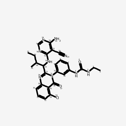 CCNC(=O)Nc1cccc(-n2c(C(Nc3ncnc(N)c3C#N)C(C)CC)nc3cccc(Cl)c3c2=O)c1